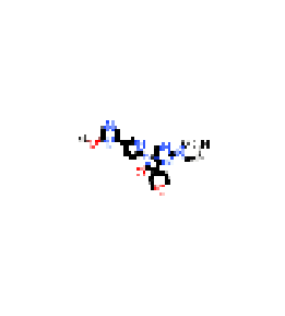 CCOc1cncc(-c2ccc(NC(=O)C3(c4ccnc(N(CC(C)C)S(=O)(=O)O)n4)CCOCC3)nc2)n1